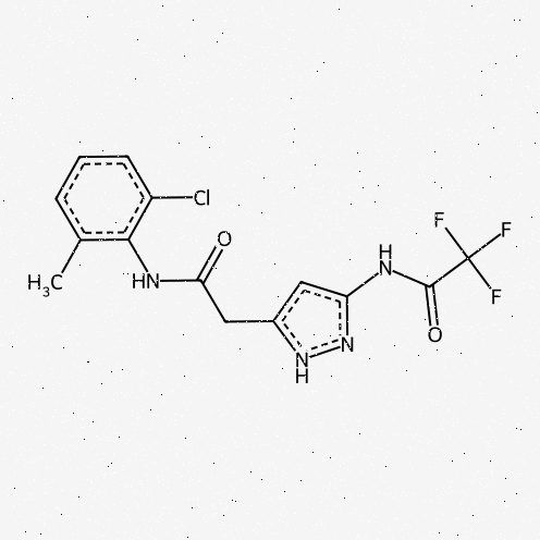 Cc1cccc(Cl)c1NC(=O)Cc1cc(NC(=O)C(F)(F)F)n[nH]1